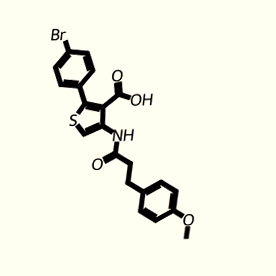 COc1ccc(CCC(=O)Nc2csc(-c3ccc(Br)cc3)c2C(=O)O)cc1